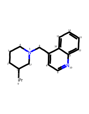 CC(C)C1CCCN(Cc2ccnc3ccccc23)C1